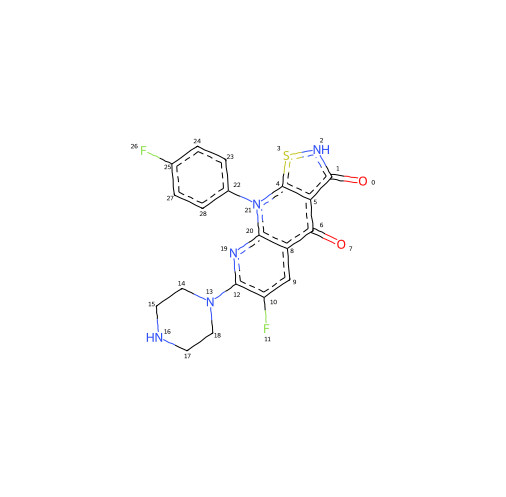 O=c1[nH]sc2c1c(=O)c1cc(F)c(N3CCNCC3)nc1n2-c1ccc(F)cc1